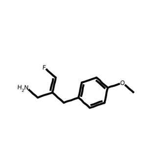 COc1ccc(CC(=CF)CN)cc1